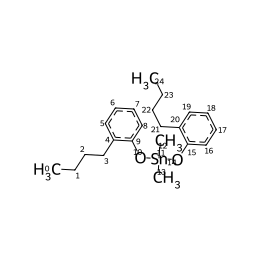 CCCCc1ccccc1[O][Sn]([CH3])([CH3])[O]c1ccccc1CCCC